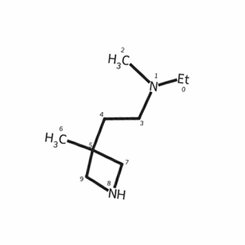 CCN(C)CCC1(C)CNC1